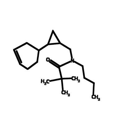 CCCCN(CC1CC1C1CC=CCC1)C(=O)C(C)(C)C